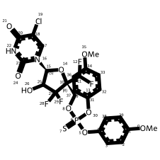 COc1ccc(OP(=S)(OC[C@]2(C(F)F)O[C@H](n3cc(Cl)c(=O)[nH]c3=O)C(O)C2(F)F)Oc2ccc(OC)cc2)cc1